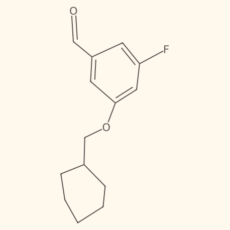 O=Cc1cc(F)cc(OCC2CCCCC2)c1